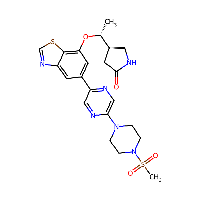 C[C@@H](Oc1cc(-c2cnc(N3CCN(S(C)(=O)=O)CC3)cn2)cc2ncsc12)[C@H]1CNC(=O)C1